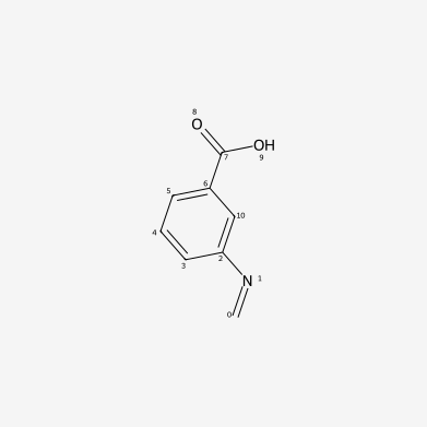 C=Nc1cccc(C(=O)O)c1